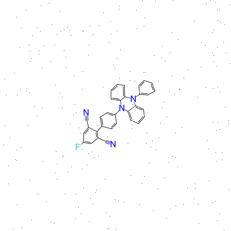 N#Cc1cc(F)cc(C#N)c1-c1ccc(N2c3ccccc3N(c3ccccc3)c3ccccc32)cc1